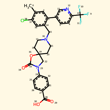 Cc1cc(-c2ccc(C(F)(F)F)nc2)c(CN2CCC3(CC2)CN(c2ccc(C(=O)O)cc2)C(=O)O3)cc1Cl